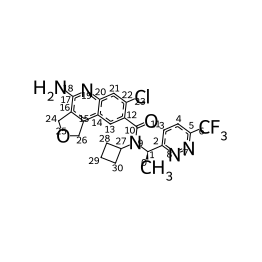 C[C@H](c1ccc(C(F)(F)F)nn1)N(C(=O)c1cc2c3c(c(N)nc2cc1Cl)COC3)C1CCC1